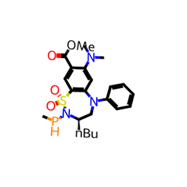 CCCC[C@@H]1CN(c2ccccc2)c2cc(N(C)C)c(C(=O)OC)cc2S(=O)(=O)N1PC